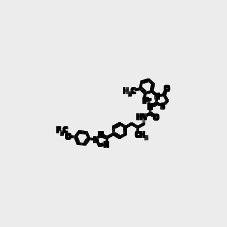 Cc1cccc(N2C(=O)CS/C2=N\C(=O)NCC(C)Cc2ccc(-c3ncn(-c4ccc(OC(F)(F)F)cc4)n3)cc2)c1C(C)C